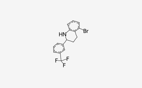 FC(F)(F)c1cccc(C2CCc3c(Br)cccc3N2)c1